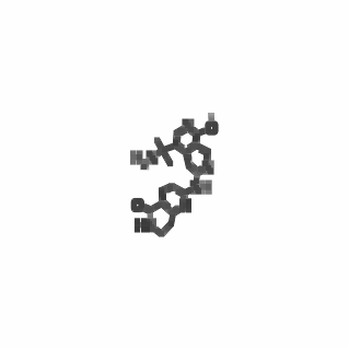 COc1ncc(C(C)(C)N)c2cc(Nc3ccc4c(n3)CCNC4=O)ncc12